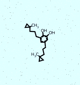 CC1(CCCc2cc(O)c(O)c(CCCC3(C)CC3)c2)CC1